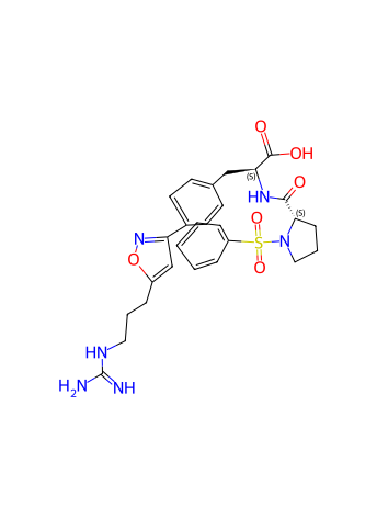 N=C(N)NCCCc1cc(-c2ccc(C[C@H](NC(=O)[C@@H]3CCCN3S(=O)(=O)c3ccccc3)C(=O)O)cc2)no1